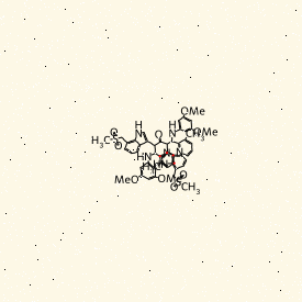 COc1cc(NC(c2ncccc2C)C(C(=O)C(c2c[nH]c3c(CS(C)(=O)=O)cccc23)C(Nc2cc(OC)cc(OC)c2)c2ncccc2C)c2c[nH]c3c(CS(C)(=O)=O)cccc23)cc(OC)c1